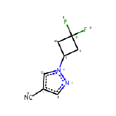 N#Cc1cnn(C2CC(F)(F)C2)c1